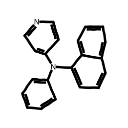 c1ccc(N(c2ccncc2)c2cccc3ccccc23)cc1